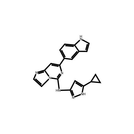 c1cn2c(Nc3cc(C4CC4)[nH]n3)nc(-c3ccc4[nH]ccc4c3)cc2n1